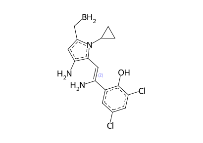 BCc1cc(N)c(/C=C(\N)c2cc(Cl)cc(Cl)c2O)n1C1CC1